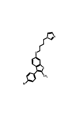 Cc1sc2cc(OCCCCn3ccnc3)ccc2c1-c1ccc(Br)cc1